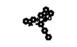 Cc1cc(-c2ccc(-c3ccccc3)cc2)cc(C)c1N(c1ccc2c(c1)C(C)(C)c1ccccc1-2)c1ccc2c(c1)C1(c3ccccc3Oc3ccccc31)c1ccccc1-2